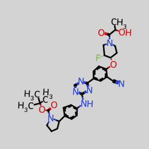 CC(O)C(=O)N1CC[C@H](Oc2ccc(-c3ncnc(Nc4ccc(C5CCCN5C(=O)OC(C)(C)C)cc4)n3)cc2C#N)[C@H](F)C1